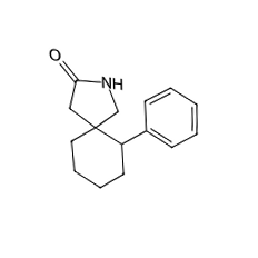 O=C1CC2(CCCCC2c2ccccc2)CN1